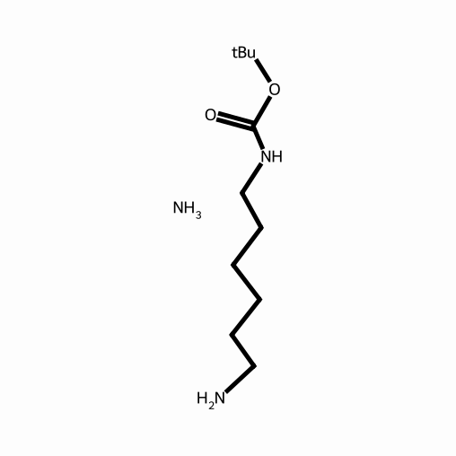 CC(C)(C)OC(=O)NCCCCCCN.N